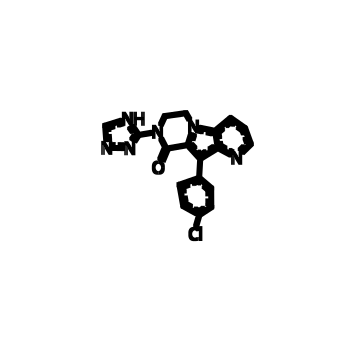 O=C1c2c(-c3ccc(Cl)cc3)c3ncccc3n2CCN1c1nnc[nH]1